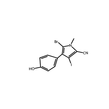 Cn1c(Br)c(-c2ccc(O)cc2)c(I)c1C#N